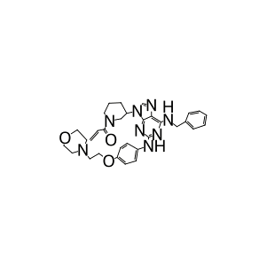 C=CC(=O)N1CCCC(n2cnc3c(NCc4ccccc4)nc(Nc4ccc(OCCN5CCOCC5)cc4)nc32)C1